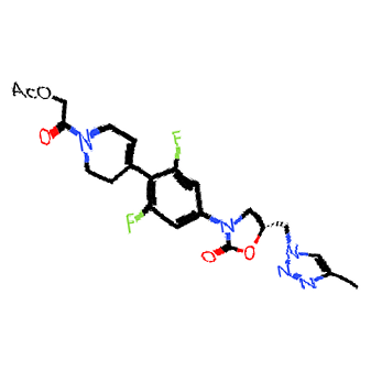 CC(=O)OCC(=O)N1CC=C(c2c(F)cc(N3C[C@H](Cn4cc(C)nn4)OC3=O)cc2F)CC1